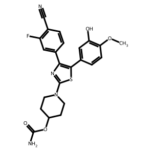 COc1ccc(-c2sc(N3CCC(OC(N)=O)CC3)nc2-c2ccc(C#N)c(F)c2)cc1O